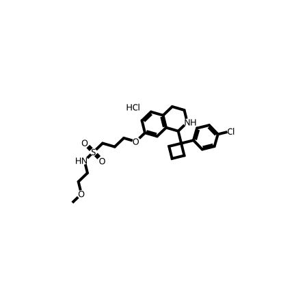 COCCNS(=O)(=O)CCCOc1ccc2c(c1)C(C1(c3ccc(Cl)cc3)CCC1)NCC2.Cl